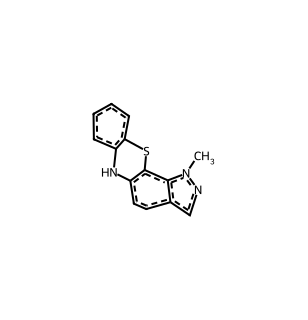 Cn1ncc2ccc3c(c21)Sc1ccccc1N3